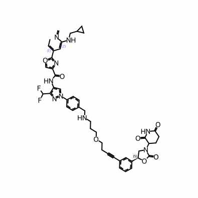 C=N/C(=C\C(=C/C)c1nc(C(=O)Nc2cn(-c3ccc(CNCCCOCCC#Cc4cccc([C@H]5CN(C6CCC(=O)NC6=O)C(=O)O5)c4)cc3)nc2C(F)F)co1)NCC1CC1